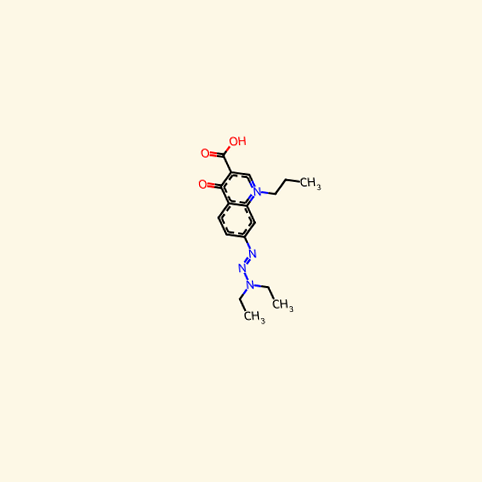 CCCn1cc(C(=O)O)c(=O)c2ccc(N=NN(CC)CC)cc21